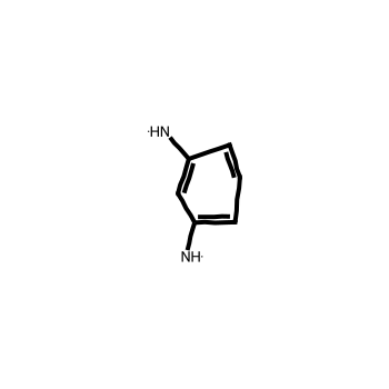 [NH]c1cccc([NH])c1